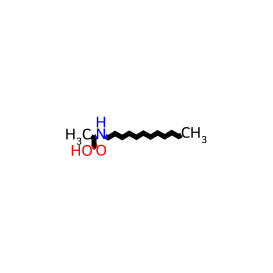 CCCCCCCCCCCCNC(C)C(=O)O